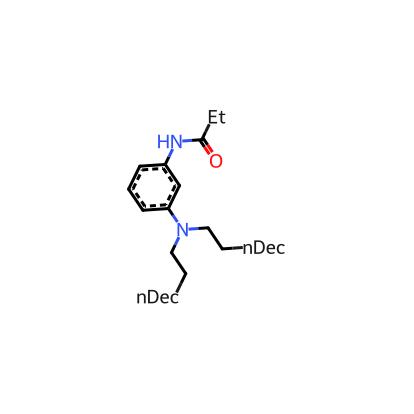 CCCCCCCCCCCCN(CCCCCCCCCCCC)c1cccc(NC(=O)CC)c1